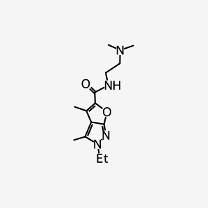 CCn1nc2oc(C(=O)NCCN(C)C)c(C)c2c1C